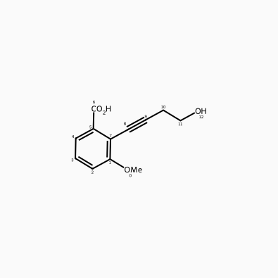 COc1cccc(C(=O)O)c1C#CCCO